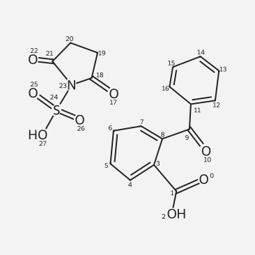 O=C(O)c1ccccc1C(=O)c1ccccc1.O=C1CCC(=O)N1S(=O)(=O)O